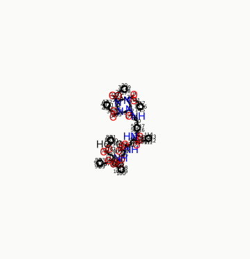 O=C(CN1CCN(CC(=O)OCc2ccccc2)CCN(CC(=O)OCc2ccccc2)CCN(CC(=O)OCc2ccccc2)CC1)NCCc1ccc(C(=O)NC(CCC(=O)NC(CCOP(=O)(NC(CCC(=O)OCc2ccccc2)C(=O)OCc2ccccc2)OCc2ccccc2)C(=O)OC(=O)O)C(=O)OCc2ccccc2)cc1